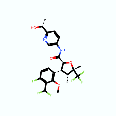 COc1c([C@@H]2[C@@H](C(=O)Nc3ccc([C@@H](C)O)nc3)O[C@](C)(C(F)(F)F)[C@@H]2C)ccc(F)c1C(F)F